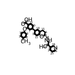 Cc1ccc(Oc2cc(-c3ccc4c(c3)CC[C@H](CNC[C@H](O)c3cccnc3)O4)ccc2C(=O)O)cc1